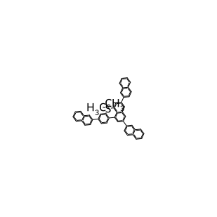 CS1(C)c2cc(-c3ccc4ccccc4c3)ccc2-c2cc(-c3ccc4ccccc4c3)cc3cc(-c4ccc5ccccc5c4)cc1c23